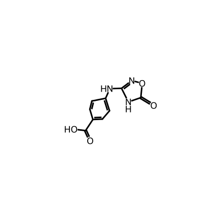 O=C(O)c1ccc(Nc2noc(=O)[nH]2)cc1